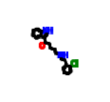 O=C(CCCCNCCc1ccccc1Cl)c1c[nH]c2ccccc12